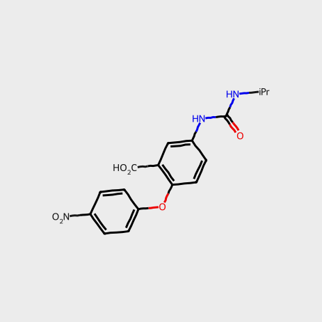 CC(C)NC(=O)Nc1ccc(Oc2ccc([N+](=O)[O-])cc2)c(C(=O)O)c1